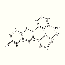 COc1cc(-c2cc3ccc(=O)[nH]c3nc2-c2cccc(C#N)c2)ccn1